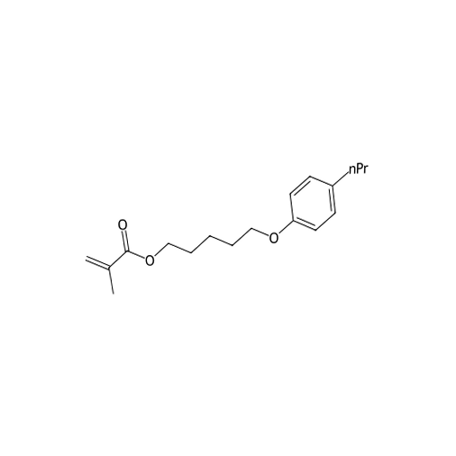 C=C(C)C(=O)OCCCCCOc1ccc(CCC)cc1